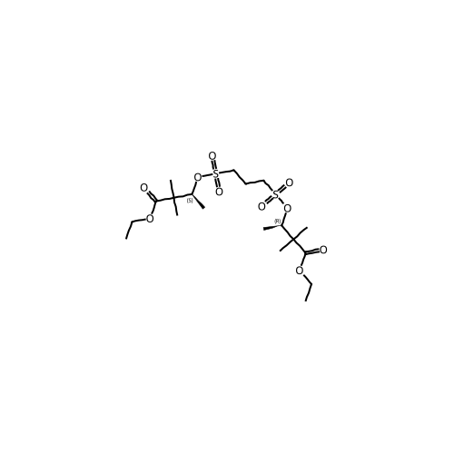 CCOC(=O)C(C)(C)[C@H](C)OS(=O)(=O)CCCS(=O)(=O)O[C@H](C)C(C)(C)C(=O)OCC